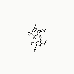 CCOC(=O)C(CO)Oc1c(F)c(F)nc(F)c1F